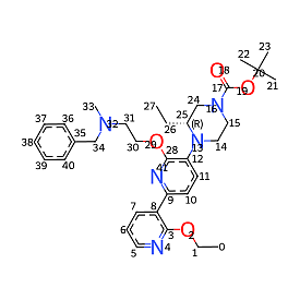 CCOc1ncccc1-c1ccc(N2CCN(C(=O)OC(C)(C)C)C[C@H]2CC)c(OCCN(C)Cc2ccccc2)n1